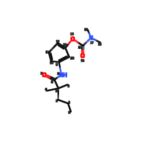 CCCC(C)(C)C(=O)Nc1cccc(OC(=O)N(C)C)c1